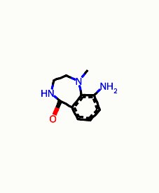 CN1CCNC(=O)c2cccc(N)c21